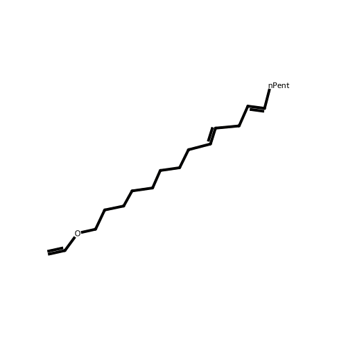 C=COCCCCCCCCC=CCC=CCCCCC